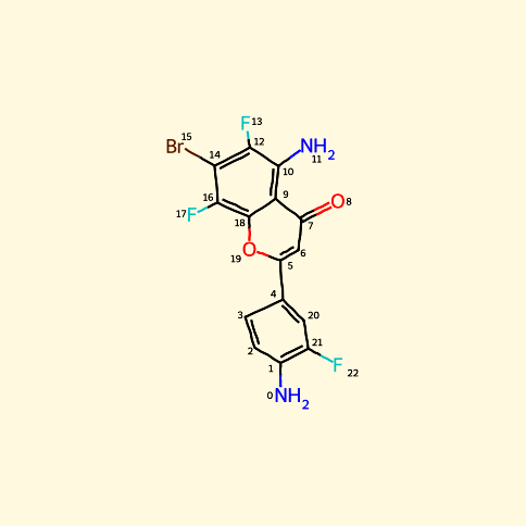 Nc1ccc(-c2cc(=O)c3c(N)c(F)c(Br)c(F)c3o2)cc1F